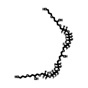 OCCCOCCC(O)COCC(F)(F)C(F)(F)OC(F)(F)C(F)(F)C(F)(F)OC(F)(F)C(F)(F)COCC(O)COCC(F)(F)C(F)(F)OC(F)(F)C(F)(F)C(F)(F)OC(F)(F)C(F)(F)COCC(O)CCOCCCO